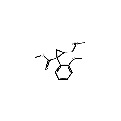 CNC[C@H]1C[C@@]1(C(=O)OC)c1ccccc1OC